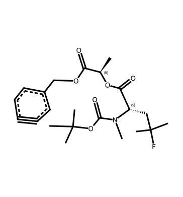 C[C@@H](OC(=O)[C@H](CC(C)(C)F)N(C)C(=O)OC(C)(C)C)C(=O)OCc1cc#ccc1